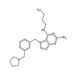 CCCCNc1nc(N)nc2ccn(Cc3cccc(CN4CCCC4)c3)c12